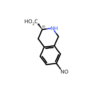 O=Nc1ccc2c(c1)CN[C@H](C(=O)O)C2